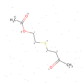 CC(=O)CCSCCOC(C)=O